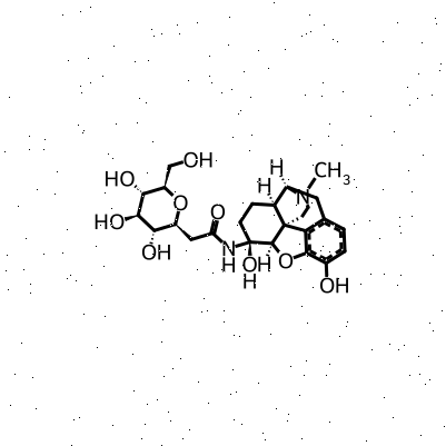 CN1CC[C@]23c4c5ccc(O)c4O[C@H]2[C@](O)(NC(=O)C[C@@H]2O[C@H](CO)[C@@H](O)[C@H](O)[C@H]2O)CC[C@H]3[C@H]1C5